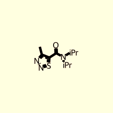 Cc1nnsc1C(=O)N(C(C)C)C(C)C